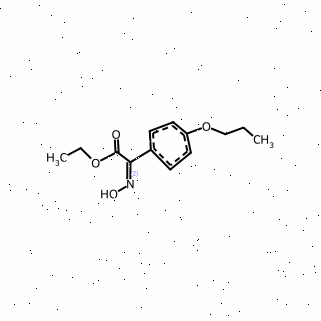 CCCOc1ccc(/C(=N/O)C(=O)OCC)cc1